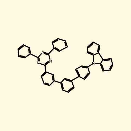 c1ccc(-c2nc(-c3ccccc3)nc(-c3cccc(-c4cccc(-c5ccc(-n6c7ccccc7c7ccccc76)cc5)c4)c3)n2)cc1